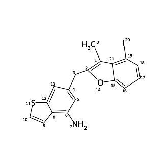 Cc1c(Cc2cc(N)c3ccsc3c2)oc2cccc(I)c12